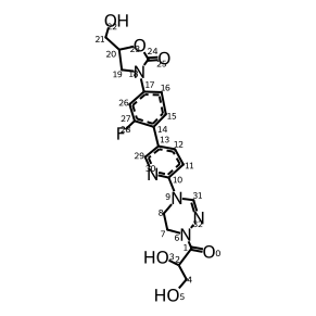 O=C(C(O)CO)N1CCN(c2ccc(-c3ccc(N4CC(CO)OC4=O)cc3F)cn2)C=N1